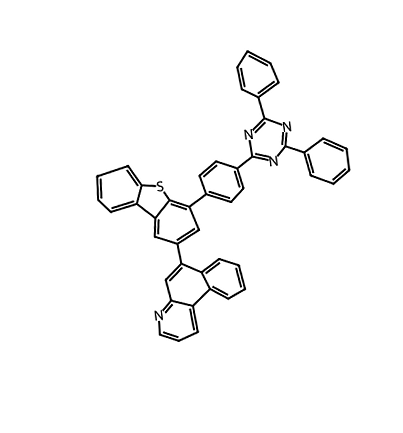 c1ccc(-c2nc(-c3ccccc3)nc(-c3ccc(-c4cc(-c5cc6ncccc6c6ccccc56)cc5c4sc4ccccc45)cc3)n2)cc1